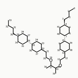 CCCC[C@H]1CC[C@H](C2CCC(CCOC(C)C(C)OCCC3CCC([C@H]4CC[C@H](CCCC)CC4)CC3)CC2)CC1